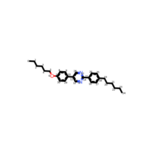 CCCCCCOc1ccc(-c2cnc(-c3ccc(CCCCCC)cc3)nc2)cc1